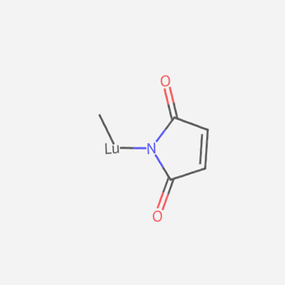 [CH3][Lu][N]1C(=O)C=CC1=O